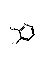 Oc1n[c]ccc1Cl